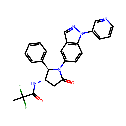 CC(F)(F)C(=O)N[C@H]1CC(=O)N(c2ccc3c(cnn3-c3cccnc3)c2)[C@@H]1c1ccccc1